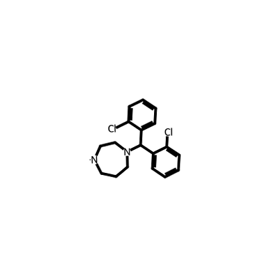 Clc1ccccc1C(c1ccccc1Cl)N1CCC[N]CC1